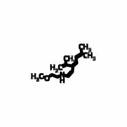 C=C(C)C(/C=C\NCCOC)=C\C=C(C)C